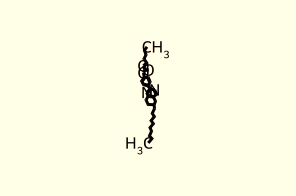 CCCCCCCCCCC1CCc2nc(-c3ccc(OC(=O)OCCCCC)cc3)ncc2C1